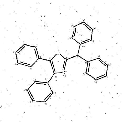 c1ccc(-c2oc(C(c3ccccc3)c3ccccc3)[o+]c2-c2ccccc2)cc1